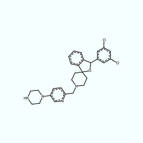 Clc1cc(Cl)cc(C2OC3(CCN(Cc4ccc(N5CCNCC5)cn4)CC3)c3ccccc32)c1